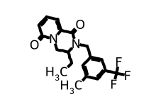 CCC1Cn2c(cccc2=O)C(=O)N1Cc1cc(C)cc(C(F)(F)F)c1